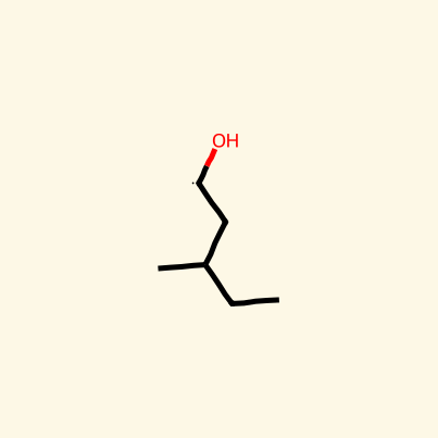 CCC(C)C[CH]O